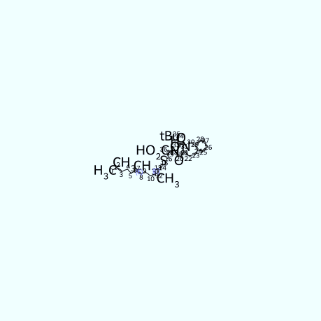 CC(C)=CCC/C(C)=C/CC/C(C)=C/CSC[C@H](NC(=O)[C@H]1CCc2ccccc2CN1C(=O)OC(C)(C)C)C(=O)O